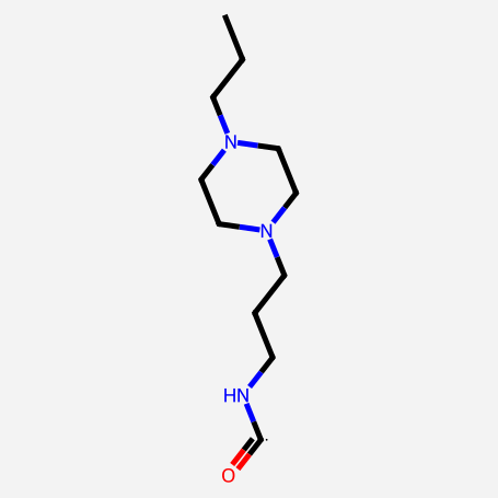 CCCN1CCN(CCCN[C]=O)CC1